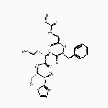 CSCC[C@H](NC(=O)[C@H](Cc1ccccc1)NC(=O)CNC(=O)OC(C)(C)C)C(=O)N[C@@H](CC(C)C)[C@@H](O)c1nccs1